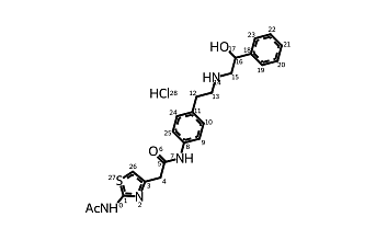 CC(=O)Nc1nc(CC(=O)Nc2ccc(CCNCC(O)c3ccccc3)cc2)cs1.Cl